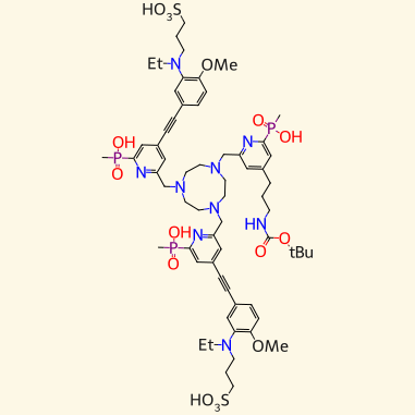 CCN(CCCS(=O)(=O)O)c1cc(C#Cc2cc(CN3CCN(Cc4cc(C#Cc5ccc(OC)c(N(CC)CCCS(=O)(=O)O)c5)cc(P(C)(=O)O)n4)CCN(Cc4cc(CCCNC(=O)OC(C)(C)C)cc(P(C)(=O)O)n4)CC3)nc(P(C)(=O)O)c2)ccc1OC